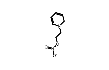 O=[N+]([O-])OCCN1C=CC=CC1